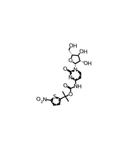 CC(C)(OC(=O)Nc1ccn([C@@H]2O[C@H](CO)[C@@H](O)[C@@H]2O)c(=O)n1)c1ccc([N+](=O)[O-])s1